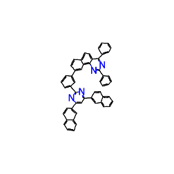 c1ccc(-c2nc(-c3ccccc3)c3ccc4ccc(-c5cccc(-c6nc(-c7ccc8ccccc8c7)cc(-c7ccc8ccccc8c7)n6)c5)cc4c3n2)cc1